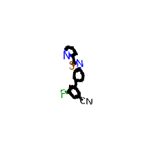 N#Cc1cc(F)cc(C2CCc3nc(-c4ccccn4)sc3C2)c1